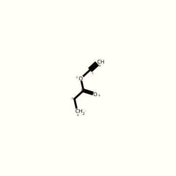 C#COC(=O)C[CH2]